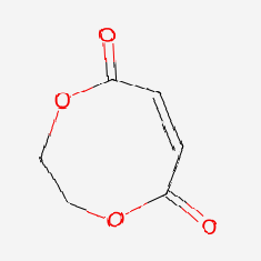 O=C1C=CC(=O)OCCO1